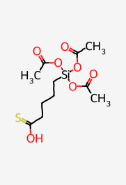 CC(=O)O[Si](CCCCC(O)=S)(OC(C)=O)OC(C)=O